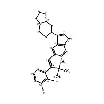 CC(C)(C)/C(=C\c1ccc2[nH]nc(C3CCN4CCCC4C3)c2c1)c1cccc(F)c1F